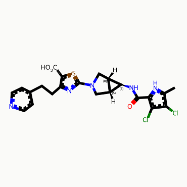 Cc1[nH]c(C(=O)N[C@H]2[C@@H]3CN(c4nc(CCc5ccncc5)c(C(=O)O)s4)C[C@@H]32)c(Cl)c1Cl